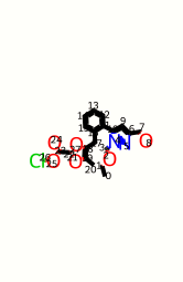 CCOCn1nc(C=O)cc1-c1ccccc1CC1=C(C)OC(C(=O)OCl)O1